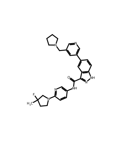 CC1(F)CCN(c2ccc(NC(=O)c3n[nH]c4ccc(-c5cncc(CN6CCCC6)c5)cc34)cn2)C1